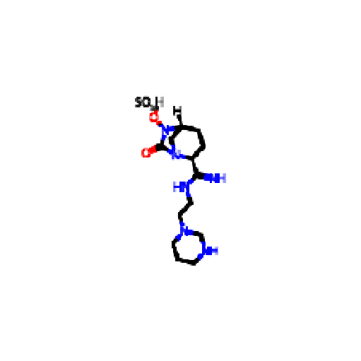 N=C(NCCN1CCCNC1)[C@@H]1CC[C@@H]2CN1C(=O)N2OS(=O)(=O)O